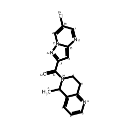 CC1c2cccnc2CCN1C(=O)c1cc2ncc(Cl)cn2n1